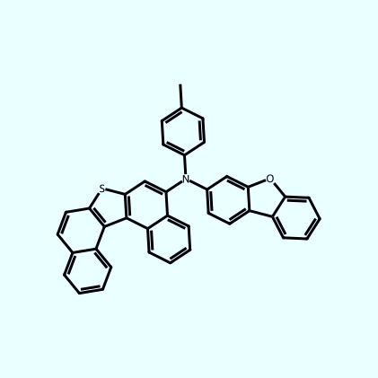 Cc1ccc(N(c2ccc3c(c2)oc2ccccc23)c2cc3sc4ccc5ccccc5c4c3c3ccccc23)cc1